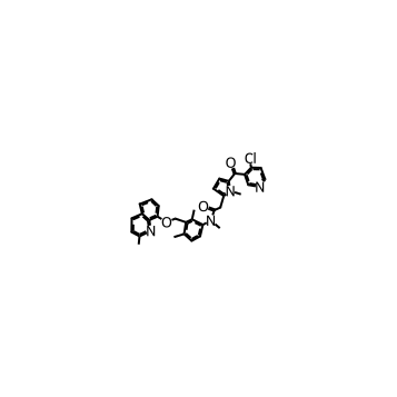 Cc1ccc2cccc(OCc3c(C)ccc(N(C)C(=O)Cc4ccc(C(=O)c5cnccc5Cl)n4C)c3C)c2n1